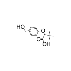 CC(C)(C)C(Oc1ccc(CO)cc1)C(=O)O